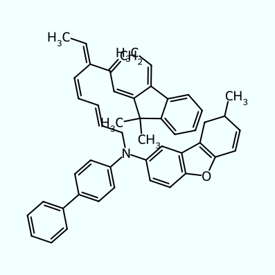 C=C(/C=C1\C(=C/C)c2ccccc2C1(C)C)C(/C=C\C=C\CN(c1ccc(-c2ccccc2)cc1)c1ccc2oc3c(c2c1)CC(C)C=C3)=C/C